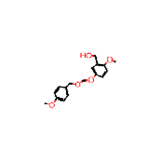 COc1ccc(COCOc2ccc(OC)c(CO)c2)cc1